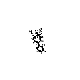 CC1(SI)C=CC=C(c2ccccc2)C=C1